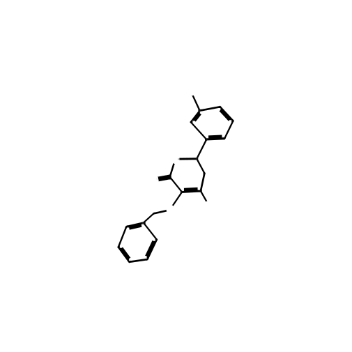 O=C1OC(c2cccc(Cl)c2)CC(O)=C1SCc1ccccc1